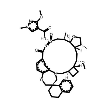 COc1nn(C)cc1C(=O)N[S@@]1(=O)=NC(=O)c2ccc3c(c2)N(C[C@@H]2CC[C@H]2[C@@H](OC)C[C@@H]2[C@H](OC[C@@H]2C)[C@H](C)C1)C[C@@]1(CCCc2ccccc21)CO3